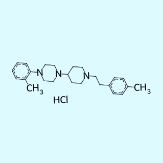 Cc1ccc(CCN2CCC(N3CCN(c4ccccc4C)CC3)CC2)cc1.Cl